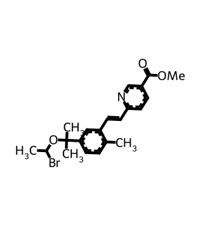 COC(=O)c1ccc(C=Cc2cc(C(C)(C)OC(C)Br)ccc2C)nc1